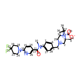 C[C@H]1CN(Cc2ccc(N(C)C(=O)c3ccc(N4CCC(F)(F)CC4)nc3)cc2)CC[N+]1(C(=O)[O-])C(C)(C)C